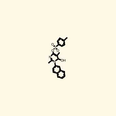 CC1=NC(OS(=O)(=O)c2ccc(C)cc2)=C(C)C(O)N1c1ccc2ccccc2c1